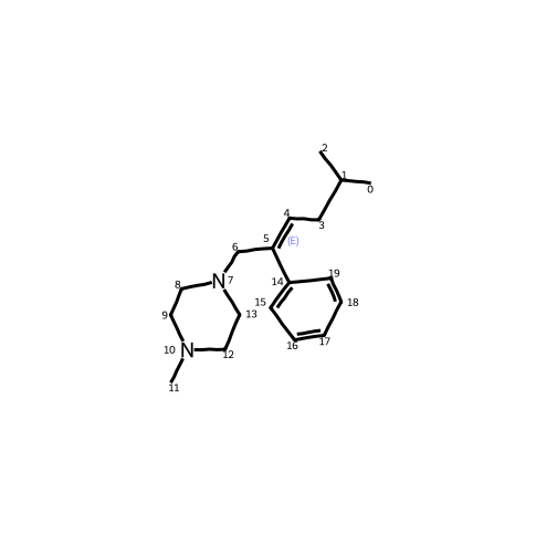 CC(C)C/C=C(/CN1CCN(C)CC1)c1ccccc1